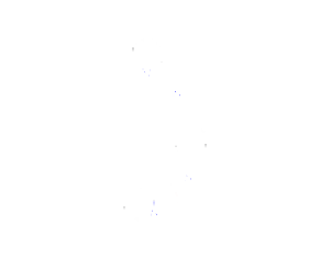 O=S(=O)(Nc1ccc(CNC2CCCc3cccnc32)cc1)c1ccccn1